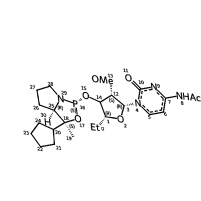 CC[C@H]1O[C@@H](n2ccc(NC(C)=O)nc2=O)[C@@H](OC)C1O[P@]1O[C@@](C)(C2CCCC2)[C@H]2CCCN21